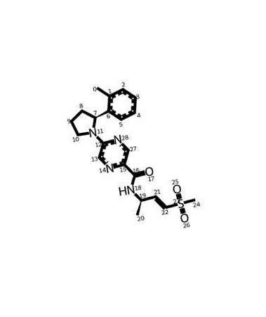 Cc1ccccc1[C@@H]1CCCN1c1cnc(C(=O)N[C@H](C)/C=C/S(C)(=O)=O)cn1